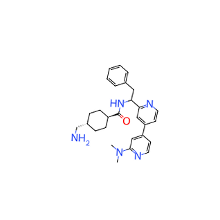 CN(C)c1cc(-c2ccnc(C(Cc3ccccc3)NC(=O)[C@H]3CC[C@H](CN)CC3)c2)ccn1